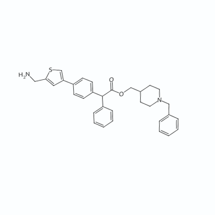 NCc1cc(-c2ccc(C(C(=O)OCC3CCN(Cc4ccccc4)CC3)c3ccccc3)cc2)cs1